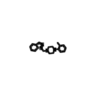 Cc1ccccc1N1CCN(Cn2ncc3ccccc32)CC1